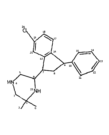 CC1(C)CNCC(C2CC(c3ccccc3)c3ccc(Cl)cc32)N1